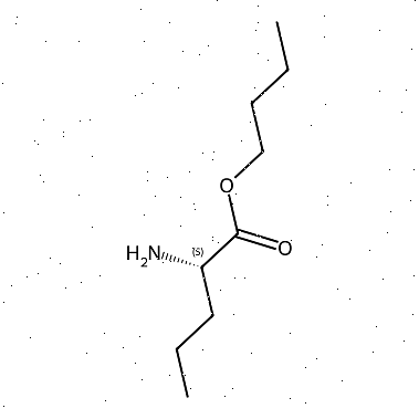 CCCCOC(=O)[C@@H](N)CCC